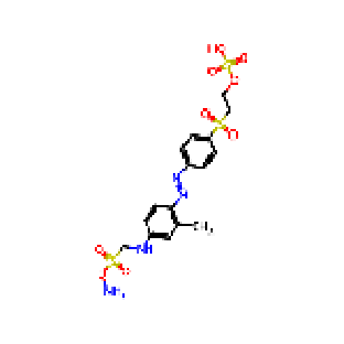 Cc1cc(NCS(=O)(=O)ON)ccc1/N=N/c1ccc(S(=O)(=O)CCOS(=O)(=O)O)cc1